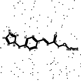 CCCCCOCC(=O)C=Cc1ccc(Cn2ccnc2)cc1